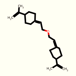 C=C(C)C1CCC(=CCOCC=C2CCC(C(=C)C)CC2)CC1